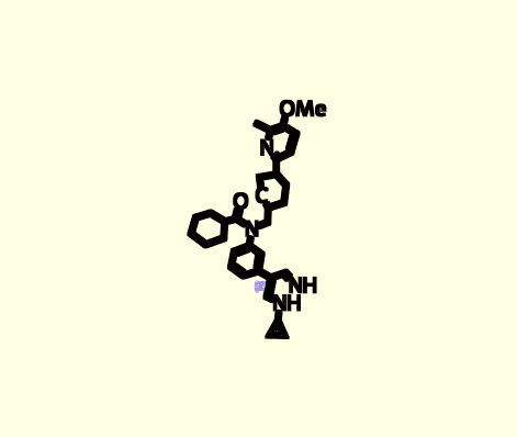 COc1ccc(C2CCC(CN(C(=O)C3CCCCC3)c3cccc(/C(C=N)=C/NC4CC4)c3)CC2)nc1C